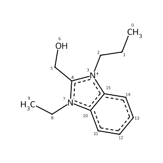 CCC[n+]1c(CO)n(CC)c2ccccc21